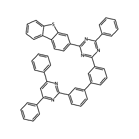 c1ccc(-c2cc(-c3ccccc3)nc(-c3cccc(-c4cccc(-c5nc(-c6ccccc6)nc(-c6ccc7c(c6)sc6ccccc67)n5)c4)c3)n2)cc1